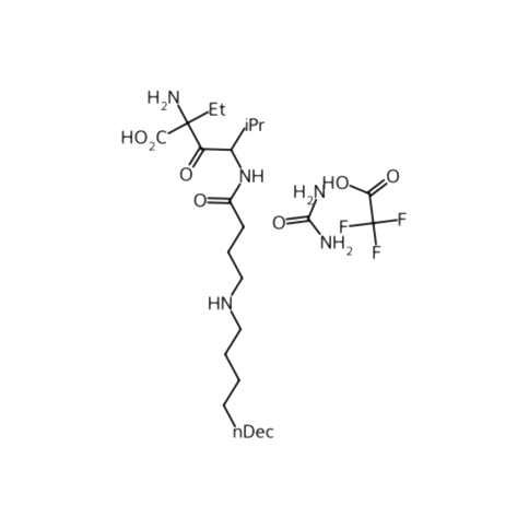 CCCCCCCCCCCCCCNCCCC(=O)NC(C(=O)C(N)(CC)C(=O)O)C(C)C.NC(N)=O.O=C(O)C(F)(F)F